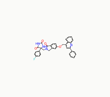 O=C1NC(=O)C(CN2Cc3cc(OCc4cc(-c5ccccc5)nc5ccccc45)ccc3C2=O)(c2ccc(F)cc2)N1